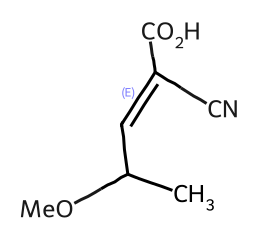 COC(C)/C=C(\C#N)C(=O)O